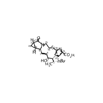 CCCC[C@H](C)C[C@H](O)C=C[C@H]1[C@@H]2C[C@@H]2C(=O)N1CCSc1nc(C(=O)O)cs1